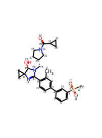 Cc1cc(-c2cccc(S(=O)(=O)C(C)C)c2)ccc1C1=NC2(CC2)C(O)N1C[C@@H]1CCN(C(=O)C2CC2)C1